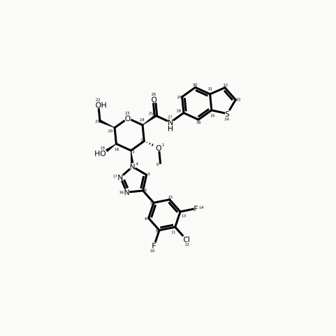 CO[C@@H]1[C@@H](n2cc(-c3cc(F)c(Cl)c(F)c3)nn2)[C@@H](O)[C@@H](CO)O[C@H]1C(=O)Nc1ccc2ccsc2c1